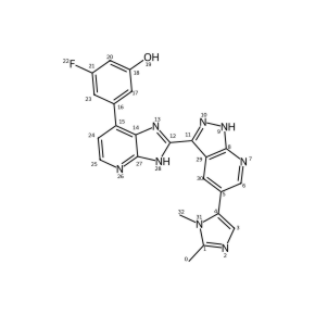 Cc1ncc(-c2cnc3[nH]nc(-c4nc5c(-c6cc(O)cc(F)c6)ccnc5[nH]4)c3c2)n1C